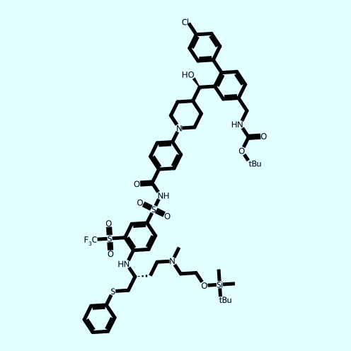 CN(CCO[Si](C)(C)C(C)(C)C)CC[C@H](CSc1ccccc1)Nc1ccc(S(=O)(=O)NC(=O)c2ccc(N3CCC([C@@H](O)c4cc(CNC(=O)OC(C)(C)C)ccc4-c4ccc(Cl)cc4)CC3)cc2)cc1S(=O)(=O)C(F)(F)F